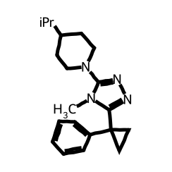 CC(C)C1CCN(c2nnc(C3(c4ccccc4)CC3)n2C)CC1